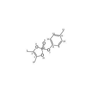 CC1=C(C)OP(=O)(Oc2ccc(C)cc2)O1